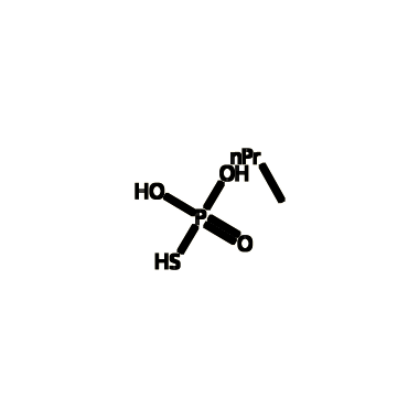 CCCC.O=P(O)(O)S